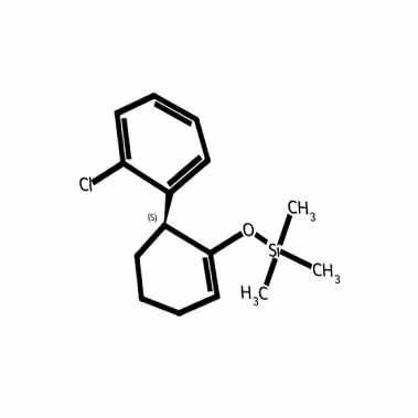 C[Si](C)(C)OC1=CCCC[C@H]1c1ccccc1Cl